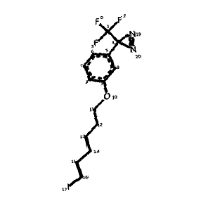 FC(F)(F)C1(c2cccc(OCCCCCCI)c2)N=N1